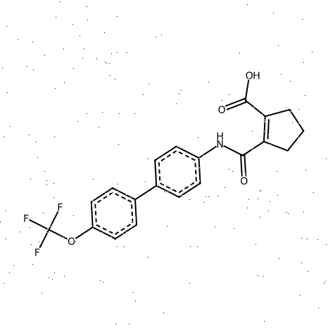 O=C(O)C1=C(C(=O)Nc2ccc(-c3ccc(OC(F)(F)F)cc3)cc2)CCC1